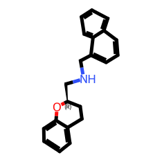 c1ccc2c(c1)CC[C@H](CNCc1cccc3ccccc13)O2